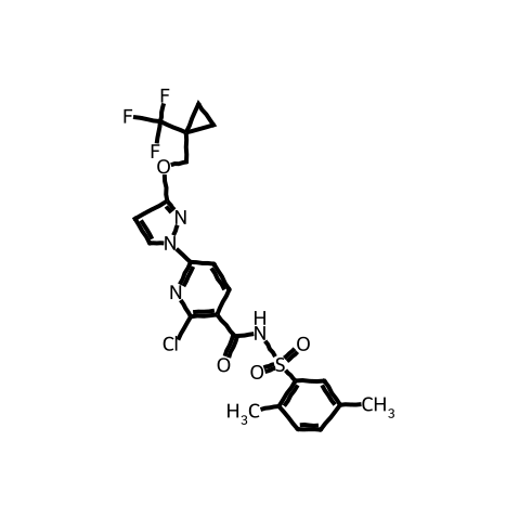 Cc1ccc(C)c(S(=O)(=O)NC(=O)c2ccc(-n3ccc(OCC4(C(F)(F)F)CC4)n3)nc2Cl)c1